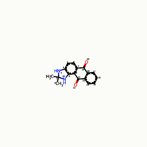 CC1(C)Nc2ccc3c(c2N1)C(=O)c1ccccc1C3=O